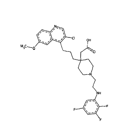 COc1ccc2ncc(Cl)c(CCCC3(CC(=O)O)CCN(CCNc4cc(F)cc(F)c4F)CC3)c2c1